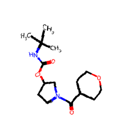 CC(C)(C)NC(=O)OC1CCN(C(=O)C2CCOCC2)C1